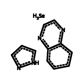 [SeH2].c1ccc2nccnc2c1.c1cn[nH]c1